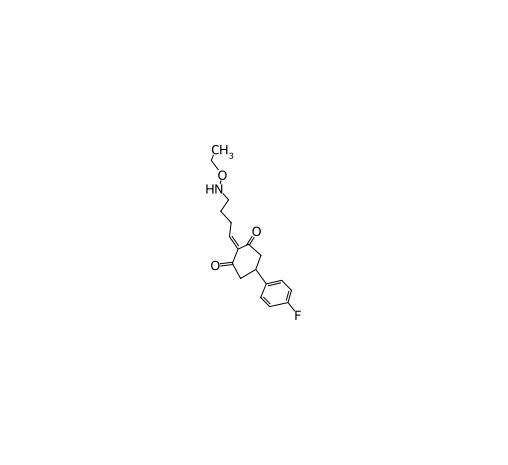 CCONCCCC=C1C(=O)CC(c2ccc(F)cc2)CC1=O